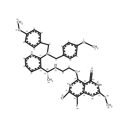 COc1ccc(CN(Cc2ccc(OC)cc2)c2ncccc2[C@@H](C)NCCOc2nc(Cl)c(F)c3nc(SC)[nH]c(=O)c23)cc1